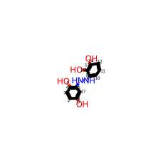 Oc1ccc(O)c(NNc2cccc(O)c2O)c1